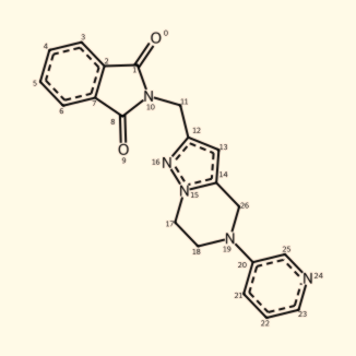 O=C1c2ccccc2C(=O)N1Cc1cc2n(n1)CCN(c1cccnc1)C2